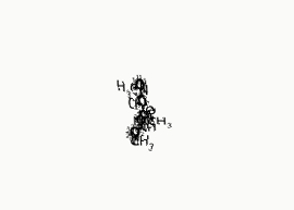 CCn1c(=O)c(-c2ccc(-c3ncccc3C)cc2Cl)cc2cnc(NC3CCCN(C)C3)nc21